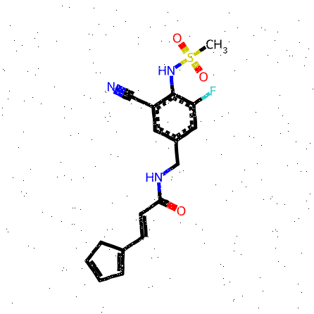 CS(=O)(=O)Nc1c(F)cc(CNC(=O)/C=C/C2=CC=CC2)cc1C#N